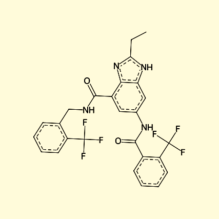 CCc1nc2c(C(=O)NCc3ccccc3C(F)(F)F)cc(NC(=O)c3ccccc3C(F)(F)F)cc2[nH]1